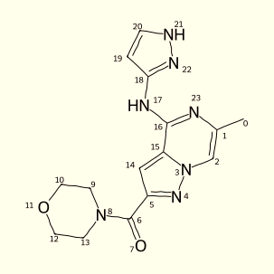 Cc1cn2nc(C(=O)N3CCOCC3)cc2c(Nc2cc[nH]n2)n1